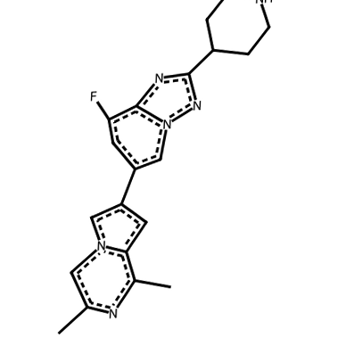 Cc1cn2cc(-c3cc(F)c4nc(C5CCNCC5)nn4c3)cc2c(C)n1